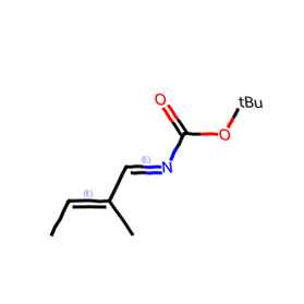 C/C=C(C)/C=N/C(=O)OC(C)(C)C